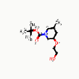 CC1CC(OCCO)CN(C(=O)OC(C)(C)C)C1